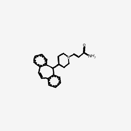 NC(=O)CCN1CCC(C2c3ccccc3C=Cc3ccccc32)CC1